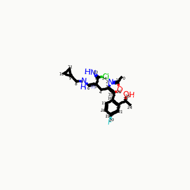 Cc1nc(C/C(=C/NCC2CC2)C(=N)Cl)c(-c2ccc(F)cc2C(C)O)o1